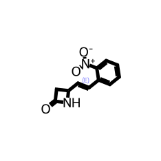 O=C1CC(/C=C/c2ccccc2[N+](=O)[O-])N1